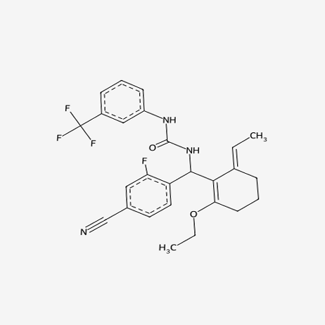 CC=C1CCCC(OCC)=C1C(NC(=O)Nc1cccc(C(F)(F)F)c1)c1ccc(C#N)cc1F